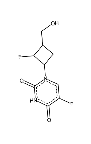 O=c1[nH]c(=O)n(C2CC(CO)C2F)cc1F